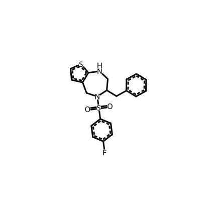 O=S(=O)(c1ccc(F)cc1)N1Cc2ccsc2NCC1Cc1ccccc1